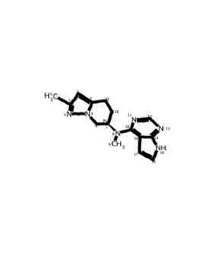 Cc1cc2n(n1)C[C@H](N(C)c1ncnc3[nH]ccc13)CC2